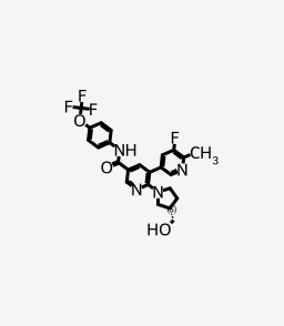 Cc1ncc(-c2cc(C(=O)Nc3ccc(OC(F)(F)F)cc3)cnc2N2CC[C@H](CO)C2)cc1F